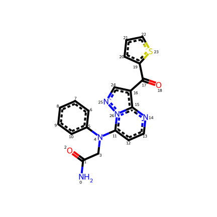 NC(=O)CN(c1ccccc1)c1ccnc2c(C(=O)c3cccs3)cnn12